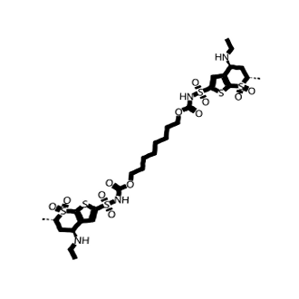 CCN[C@H]1C[C@H](C)S(=O)(=O)c2sc(S(=O)(=O)NC(=O)OCCCCCCCCOC(=O)NS(=O)(=O)c3cc4c(s3)S(=O)(=O)[C@@H](C)C[C@@H]4NCC)cc21